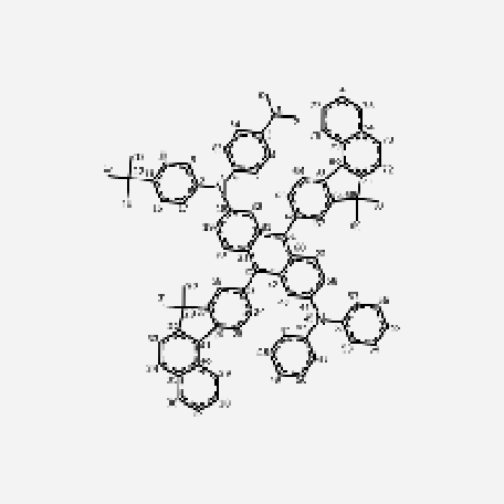 CC(C)c1ccc(N(c2ccc(C(C)(C)C)cc2)c2ccc3c(-c4ccc5c(c4)C(C)(C)c4ccc6ccccc6c4-5)c4cc(N(c5ccccc5)c5ccccc5)ccc4c(-c4ccc5c(c4)C(C)(C)c4ccc6ccccc6c4-5)c3c2)cc1